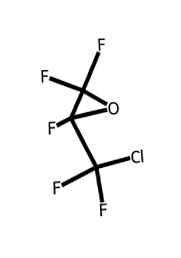 FC(F)(Cl)C1(F)OC1(F)F